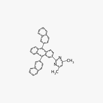 Cc1cc(C)nc(-c2ccc3c(-c4ccc5ccccc5c4)c4ccccc4c(-c4ccc5ccccc5c4)c3c2)n1